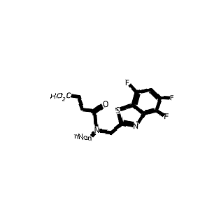 CCCCCCCCCN(Cc1nc2c(F)c(F)cc(F)c2s1)C(=O)CCC(=O)O